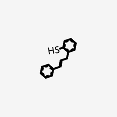 Sc1ccccc1CC=Cc1ccccc1